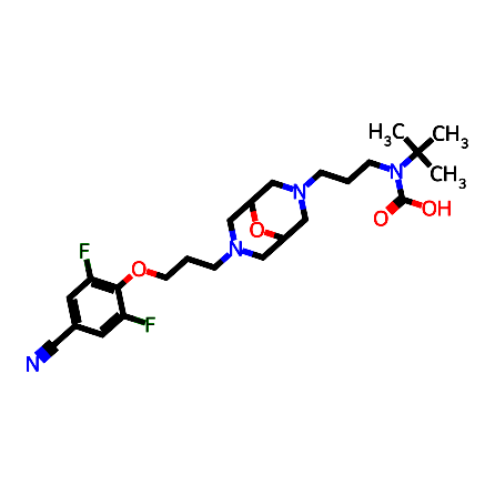 CC(C)(C)N(CCCN1CC2CN(CCCOc3c(F)cc(C#N)cc3F)CC(C1)O2)C(=O)O